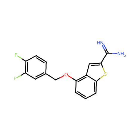 N=C(N)c1cc2c(OCc3ccc(F)c(F)c3)cccc2s1